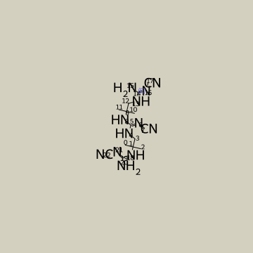 CC(C)(CNC(=NC#N)NC(C)(C)CN/C(N)=N/C#N)NC(N)=NC#N